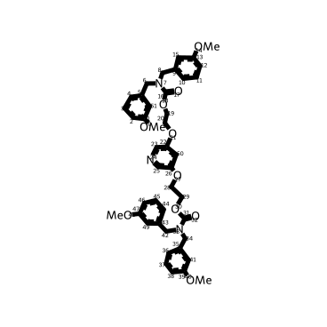 COc1cccc(CN(Cc2cccc(OC)c2)C(=O)OCCOc2cncc(OCCOC(=O)N(Cc3cccc(OC)c3)Cc3cccc(OC)c3)c2)c1